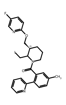 Cc1ccc(-c2ccccn2)c(C(=O)N2CCC[C@H](COc3ccc(F)cn3)C2CI)c1